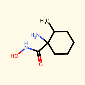 CC1CCCCC1(N)C(=O)NO